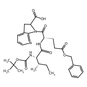 CC[C@H](C)[C@H](NC(=O)OC(C)(C)C)C(=O)N[C@@H](CCC(=O)OCc1ccccc1)C(=O)N1c2ncccc2CC1C(=O)O